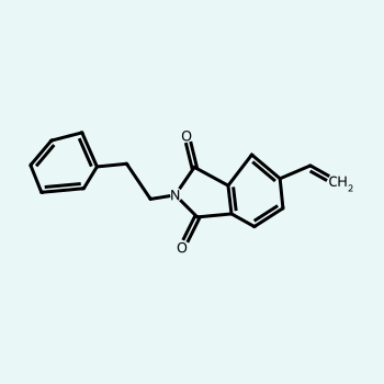 C=Cc1ccc2c(c1)C(=O)N(CCc1ccccc1)C2=O